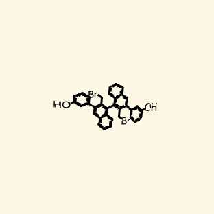 Oc1cccc(-c2cc3ccccc3c(-c3c(CBr)c(-c4cccc(O)c4)cc4ccccc34)c2CBr)c1